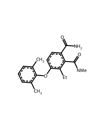 CCc1c(Oc2c(C)cccc2C)ccc(C(N)=O)c1C(=O)NC